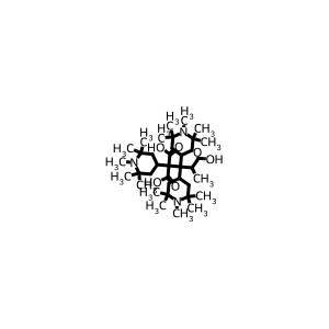 CC(C(=O)O)C(C1CC(C)(C)N(C)C(C)(C)C1)(C1CC(C)(C)N(C)C(C)(C)C1)C(C(=O)O)(C(=O)O)C1CC(C)(C)N(C)C(C)(C)C1